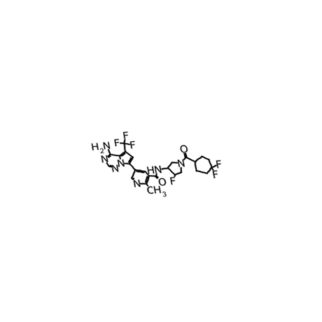 Cc1ncc(-c2cc(C(F)(F)F)c3c(N)ncnn23)cc1C(=O)NC1CN(C(=O)C2CCC(F)(F)CC2)CC1F